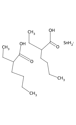 CCCCC(CC)C(=O)O.CCCCC(CC)C(=O)O.[SnH2]